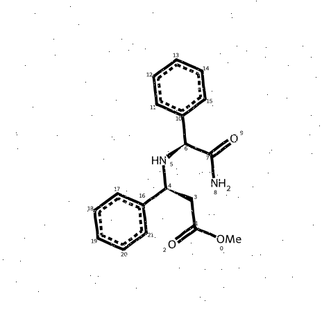 COC(=O)C[C@H](N[C@H](C(N)=O)c1ccccc1)c1ccccc1